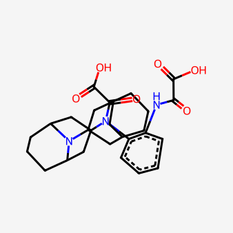 O=C(O)C(=O)Nc1ccccc1N(C(=O)C(=O)O)C1CC2CCCC(C1)N2C1CC2CCCC(C2)C1